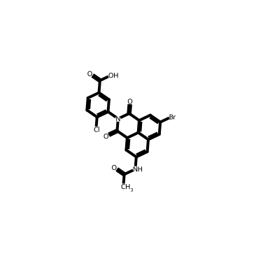 CC(=O)Nc1cc2c3c(cc(Br)cc3c1)C(=O)N(c1cc(C(=O)O)ccc1Cl)C2=O